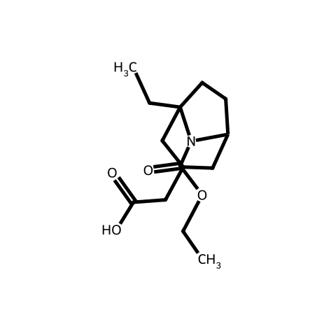 CCOC(=O)N1C2CCC1(CC)CC(CC(=O)O)C2